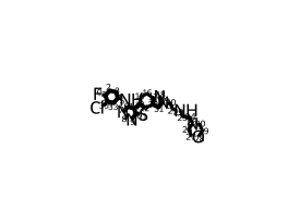 Fc1ccc(Nc2ncnc3sc4c(c23)CCc2nn(CCNCCN3CCOCC3)cc2-4)cc1Cl